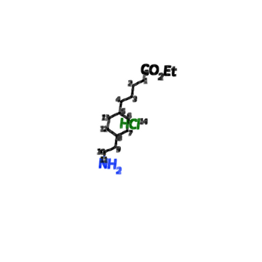 CCOC(=O)CCCCC1CCC(CCN)CC1.Cl